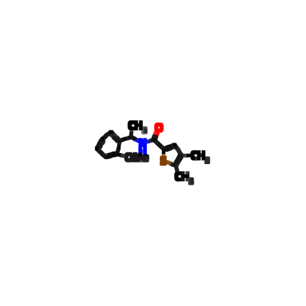 COc1ccccc1C(C)NC(=O)c1cc(C)c(C)s1